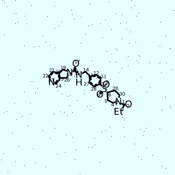 CCC(=O)N1CCC(S(=O)(=O)c2ccc(CNC(=O)N3Cc4ccncc4C3)cc2)CC1